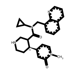 Cn1ccc([C@H]2CCNCC2C(=O)N(Cc2cccc3cccnc23)C2CC2)cc1=O